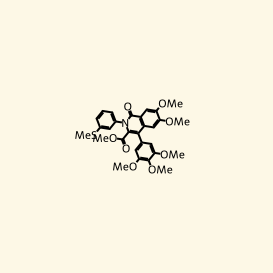 COC(=O)c1c(-c2cc(OC)c(OC)c(OC)c2)c2cc(OC)c(OC)cc2c(=O)n1-c1cccc(SC)c1